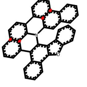 c1ccc(-c2ccccc2N(c2ccc3ccccc3c2)c2c(-c3ccccc3)c3ccccc3c3oc4ccccc4c23)cc1